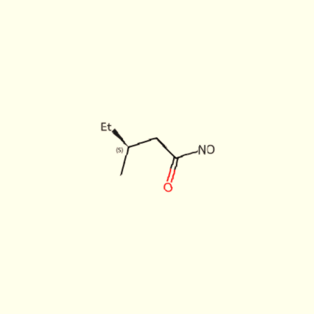 CC[C@H](C)CC(=O)N=O